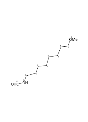 [CH2]OCCCCCCCCN[C]=O